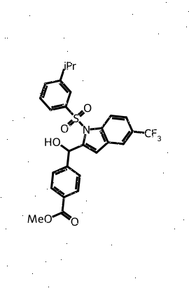 COC(=O)c1ccc(C(O)c2cc3cc(C(F)(F)F)ccc3n2S(=O)(=O)c2cccc(C(C)C)c2)cc1